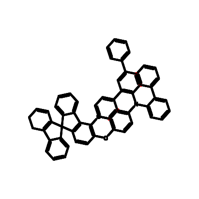 C1=CC2=C(CC1)c1ccccc1C21c2ccccc2-c2c1ccc1c2Oc2cc(N(c3ccccc3-c3ccccc3)c3ccc(-c4ccccc4)cc3-c3ccccc3)ccc2O1